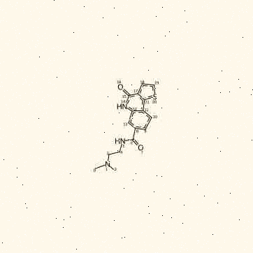 CN(C)CCNC(=O)c1ccc2c(c1)[nH]c(=O)c1ccsc12